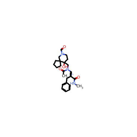 CNC(=O)/C(=C/N(CC1(O)CCN(C=O)CC12CCCC2)C(C)=O)Cc1ccccc1